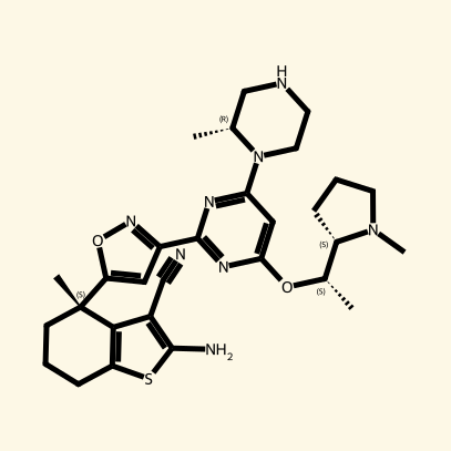 C[C@H](Oc1cc(N2CCNC[C@H]2C)nc(-c2cc([C@@]3(C)CCCc4sc(N)c(C#N)c43)on2)n1)[C@@H]1CCCN1C